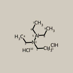 CC[N](CC)[Al]([CH2]C)[CH2]C.Cl.Cl